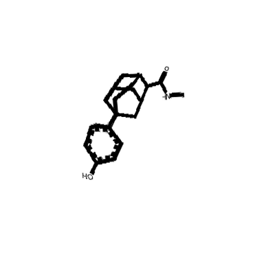 CNC(=O)C1C2CC3CC1CC(c1ccc(O)cc1)(C3)C2